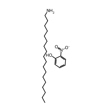 CCCCCCCCCCCCCCCCCCN.O=[N+]([O-])c1ccccc1O